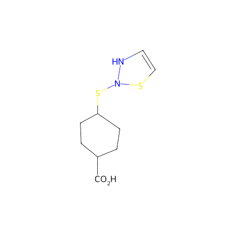 O=C(O)C1CCC(SN2NC=CS2)CC1